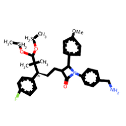 COc1ccc(C2C(CC[C@@H](c3ccc(F)cc3)C(C)(C)C(O[SiH2]C)O[SiH2]C)C(=O)N2c2ccc(CN)cc2)cc1